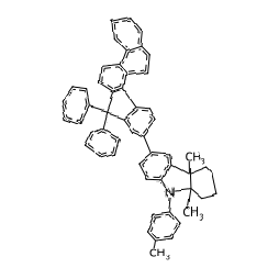 Cc1ccc(N2c3ccc(-c4ccc5c(c4)C(c4ccccc4)(c4ccccc4)c4ccc6c(ccc7ccccc76)c4-5)cc3C3(C)CCCCC23C)cc1